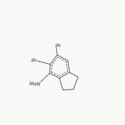 CNc1c2c(cc(C(C)C)c1C(C)C)CCC2